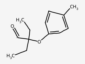 CCC([C]=O)(CC)Oc1ccc(C)cc1